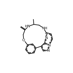 C=C1COc2cccc(c2)-c2cnn3ccc(nc23)NCC(C)N1